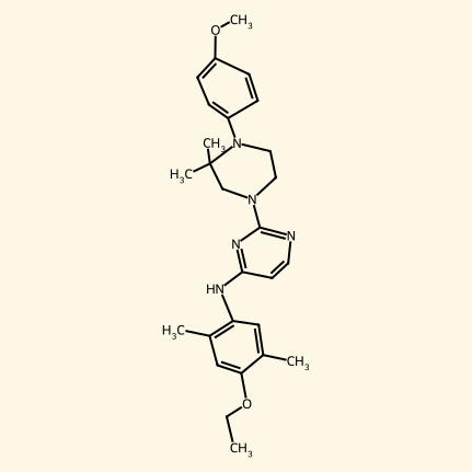 CCOc1cc(C)c(Nc2ccnc(N3CCN(c4ccc(OC)cc4)C(C)(C)C3)n2)cc1C